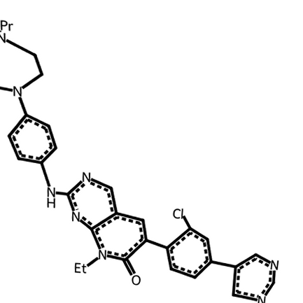 CCn1c(=O)c(-c2ccc(-c3cncnc3)cc2Cl)cc2cnc(Nc3ccc(N4CCN(C(C)C)CC4)cc3)nc21